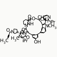 CC#CC(=O)N1CC[C@H](C(=O)N(C)[C@H](C(=O)N[C@H]2Cc3cc(O)cc(c3)-c3ccc4c(c3)c(c(-c3cccnc3C(C)C)n4C)CC(C)(C)COC(=O)[C@@H]3CCCN(N3)C2=O)C(C)C)C1